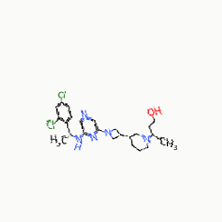 C[C@H](CCO)N1CCC[C@@H](C2CN(c3cncc(N[C@H](C)c4ccc(Cl)cc4Cl)n3)C2)C1